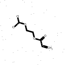 C=CC(=O)OCCOC(Cl)Cl